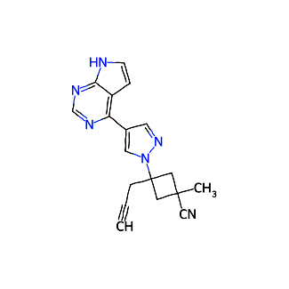 C#CCC1(n2cc(-c3ncnc4[nH]ccc34)cn2)CC(C)(C#N)C1